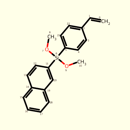 C=Cc1ccc([Si](OC)(OC)c2ccc3ccccc3c2)cc1